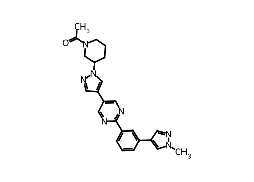 CC(=O)N1CCC[C@@H](n2cc(-c3cnc(-c4cccc(-c5cnn(C)c5)c4)nc3)cn2)C1